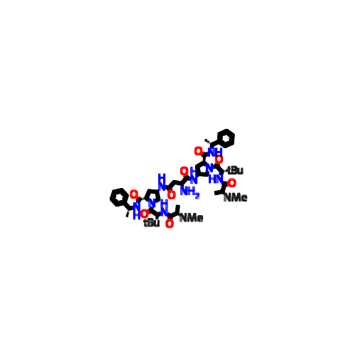 CN[C@@H](C)C(=O)N[C@H](C(=O)N1C[C@@H](NC(=O)C[C@H](N)C(=O)N[C@H]2C[C@@H](C(=O)N[C@H](C)c3ccccc3)N(C(=O)[C@@H](NC(=O)[C@H](C)NC)C(C)(C)C)C2)C[C@H]1C(=O)N[C@H](C)c1ccccc1)C(C)(C)C